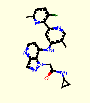 Cc1ccc(F)c(-c2cc(Nc3ccnc4cnn(CC(=O)NC5CC5)c34)c(C)cn2)n1